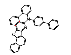 c1ccc(-c2ccc(N(c3ccc4oc5c6ccccc6ccc5c4n3)c3ccccc3-c3ccccc3)cc2)cc1